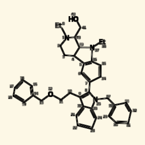 CCN1CCC2c3cc(-c4c(CCOCc5ccccc5)c5ccccc5n4Cc4ccccc4)ccc3N(CC)C2C1CO